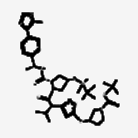 Cc1ncsc1-c1ccc([C@H](C)NC(=O)[C@@H]2C[C@@H](O[Si](C)(C)C(C)(C)C)CN2C(=O)[C@@H](c2cc(OC3CCN(C(=O)OC(C)(C)C)C3)no2)C(C)C)cc1